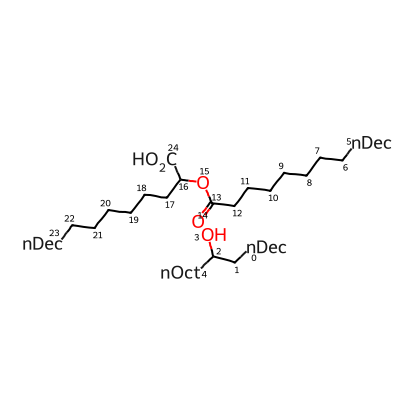 CCCCCCCCCCCC(O)CCCCCCCC.CCCCCCCCCCCCCCCCCC(=O)OC(CCCCCCCCCCCCCCCC)C(=O)O